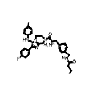 CCCC(=O)NCc1ccc(C[C@H](N)C(=O)N2CCn3c(nc(-c4ccc(F)cc4)c3Nc3ccc(C)cc3)C2)cc1